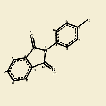 [CH2]c1ccc(N2C(=O)c3ccccc3C2=O)cc1